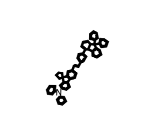 C1=CC2C(C(c3ccc(/C=C/c4ccc5c(c4)C4(CCCC4)c4cc(N(c6ccccc6)c6ccccc6)ccc4-5)cc3)=C1)c1ccccc1C2(c1ccccc1)c1ccccc1